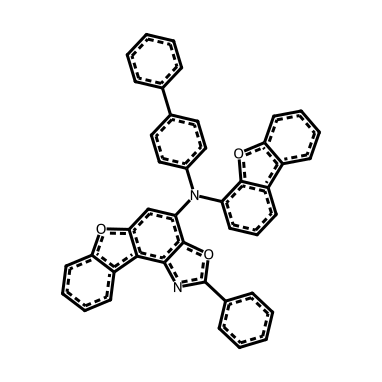 c1ccc(-c2ccc(N(c3cccc4c3oc3ccccc34)c3cc4oc5ccccc5c4c4nc(-c5ccccc5)oc34)cc2)cc1